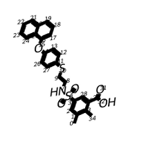 Cc1cc(S(=O)(=O)NCCSc2ccc(Oc3cccc4ccccc34)cc2)cc(C(=O)O)c1C